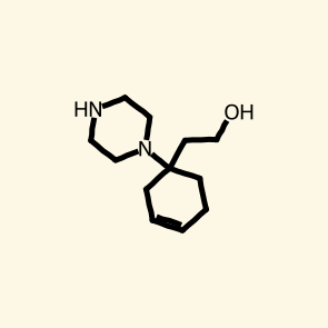 OCCC1(N2CCNCC2)CC=CCC1